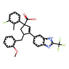 COc1ccccc1CC1CC(C(=O)O)(c2cccc(F)c2C)C=C1c1ccc2nc(C(F)(F)F)[nH]c2c1